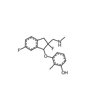 CNCC1(F)Cc2ccc(F)cc2C1Oc1cccc(O)c1C